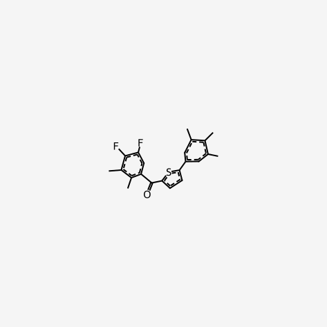 Cc1cc(-c2ccc(C(=O)c3cc(F)c(F)c(C)c3C)s2)cc(C)c1C